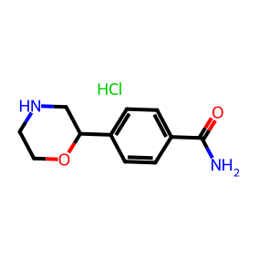 Cl.NC(=O)c1ccc(C2CNCCO2)cc1